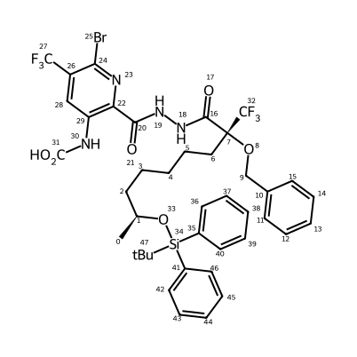 C[C@@H](CCCCC[C@@](OCc1ccccc1)(C(=O)NNC(=O)c1nc(Br)c(C(F)(F)F)cc1NC(=O)O)C(F)(F)F)O[Si](c1ccccc1)(c1ccccc1)C(C)(C)C